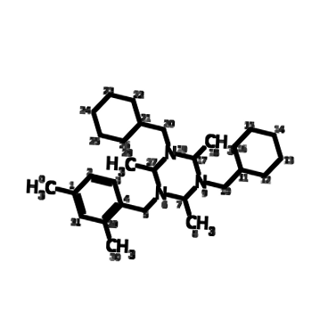 Cc1ccc(CN2C(C)N(CC3CCCCC3)C(C)N(CC3CCCCC3)C2C)c(C)c1